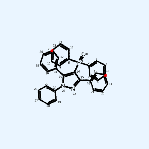 O=P(c1ccccc1)(c1ccccc1)c1c(-c2ccccc2)nn(-c2ccccc2)c1-c1ccccc1